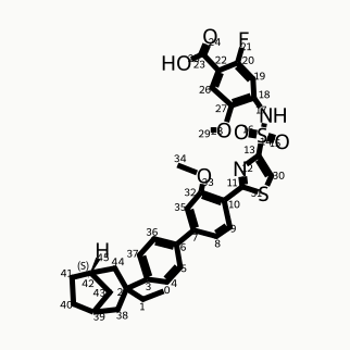 CCC1(c2ccc(-c3ccc(-c4nc(S(=O)(=O)Nc5cc(F)c(C(=O)O)cc5OC)cs4)c(OC)c3)cc2)CC2CC[C@@H](C2)C1